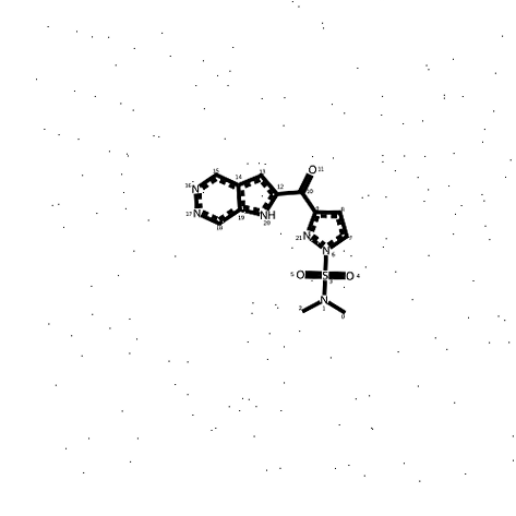 CN(C)S(=O)(=O)n1ccc(C(=O)c2cc3cnncc3[nH]2)n1